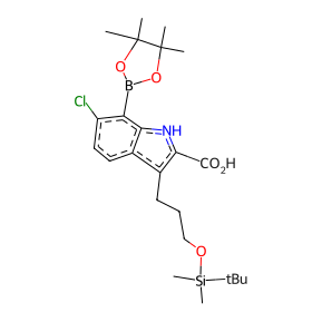 CC1(C)OB(c2c(Cl)ccc3c(CCCO[Si](C)(C)C(C)(C)C)c(C(=O)O)[nH]c23)OC1(C)C